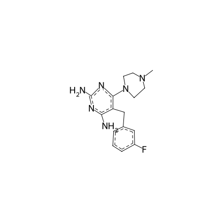 CN1CCN(c2nc(N)nc(N)c2Cc2cccc(F)c2)CC1